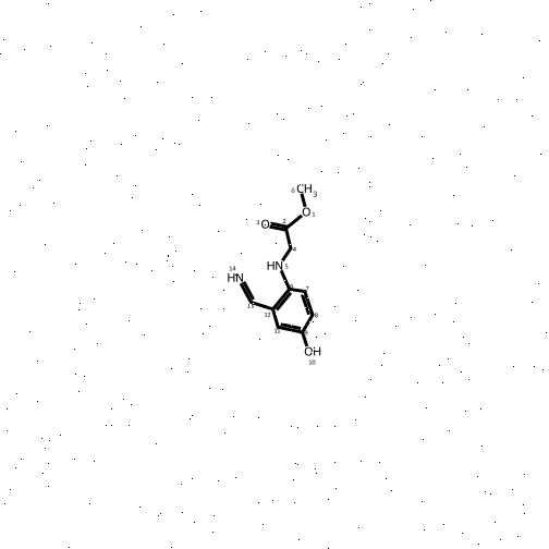 COC(=O)CNc1ccc(O)cc1C=N